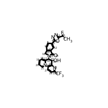 CC(F)c1nnc(-c2ccc3c(c2)C(=O)N([C@H](c2ccccn2)[C@@H](O)c2cccc(C(F)(F)F)n2)C3)o1